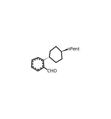 CCCCC[C@H]1CC[C@H](c2ccccc2C=O)CC1